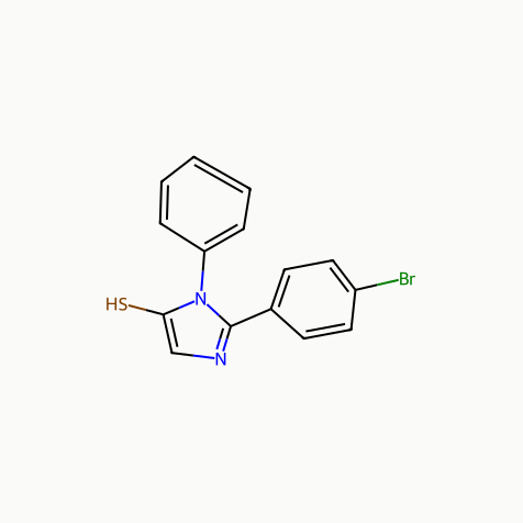 Sc1cnc(-c2ccc(Br)cc2)n1-c1ccccc1